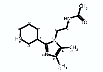 CC(=O)NCCn1c(C2CCCNC2)nc(C)c1C